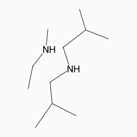 CC(C)CNCC(C)C.CCNC